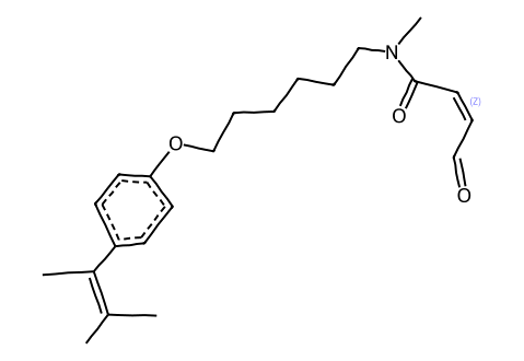 CC(C)=C(C)c1ccc(OCCCCCCN(C)C(=O)/C=C\C=O)cc1